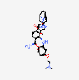 CC(=O)c1ccc(N2C3CCC2CC(NC(=O)c2ccc(C(N)=O)c(Nc4cccc(OCCN(C)C)c4)c2)C3)nc1